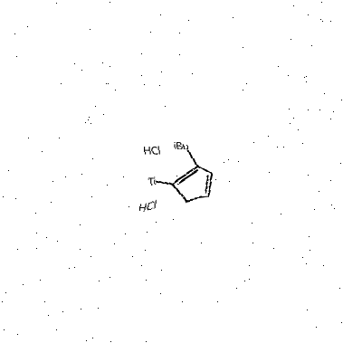 CCC(C)C1=[C]([Ti])CC=C1.Cl.Cl